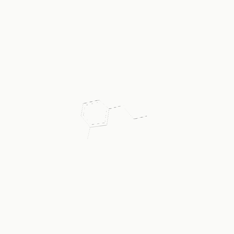 Cc1cccc(OCCl)c1